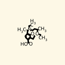 CCO[C@H](C)CCN(CC)[C@@H](C)c1ccc(C(=O)O)c2c1OCC2